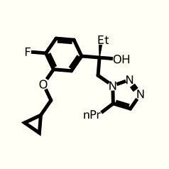 CCCc1cnnn1C[C@](O)(CC)c1ccc(F)c(OCC2CC2)c1